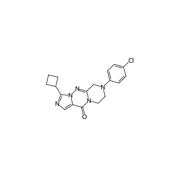 O=c1c2cnc(C3CCC3)n2nc2n1CCN(c1ccc(Cl)cc1)C2